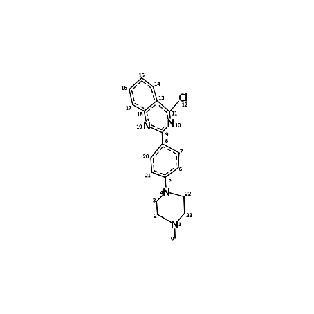 CN1CCN(c2ccc(-c3nc(Cl)c4ccccc4n3)cc2)CC1